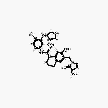 COC1CCN(Cc2cc3c(nc2C=O)N(C(=O)Nc2cc(O[C@H]4COC[C@@H]4OC)c(C#N)cn2)CCC3)C1=O